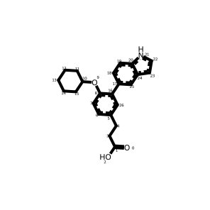 O=C(O)CCc1ccc(OC2CCCCC2)c(-c2ccc3[nH]ccc3c2)c1